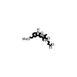 CCN(CC)CCNC(=O)c1c(C)[nH]c(/C=C2\C(=O)Nc3ccc(CCOC)cc32)c1C